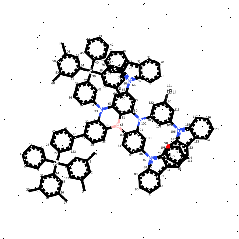 Cc1cc(C)cc([Si](c2ccccc2)(c2cc(C)cc(C)c2)c2cccc(-c3ccc4c(c3)N(c3cccc([Si](c5ccccc5)(c5cc(C)cc(C)c5)c5cc(C)cc(C)c5)c3)c3cc(-n5c6ccccc6c6ccccc65)cc5c3B4c3ccc(-n4c6ccccc6c6ccccc64)cc3N5c3cc(-n4c5ccccc5c5ccccc54)cc(C(C)(C)C)c3)c2)c1